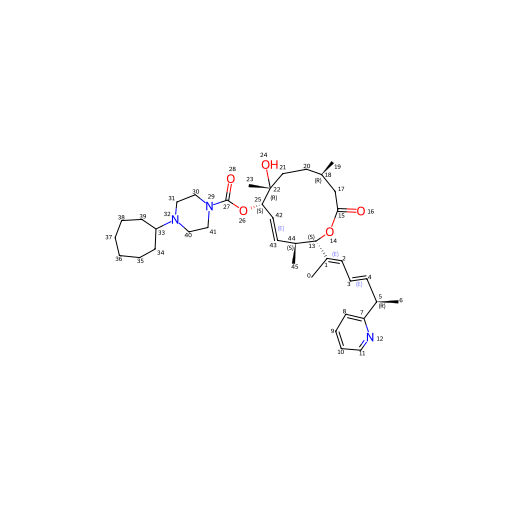 C/C(=C\C=C\[C@@H](C)c1ccccn1)[C@H]1OC(=O)C[C@H](C)CC[C@@](C)(O)[C@@H](OC(=O)N2CCN(C3CCCCCC3)CC2)/C=C/[C@@H]1C